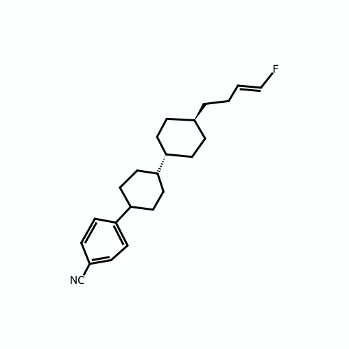 N#Cc1ccc(C2CCC([C@H]3CC[C@H](CC/C=C/F)CC3)CC2)cc1